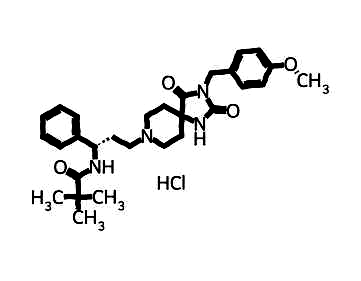 COc1ccc(CN2C(=O)NC3(CCN(CC[C@H](NC(=O)C(C)(C)C)c4ccccc4)CC3)C2=O)cc1.Cl